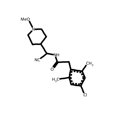 CON1CCC(C(C#N)NC(=O)Cc2c(C)cc(Cl)cc2C)CC1